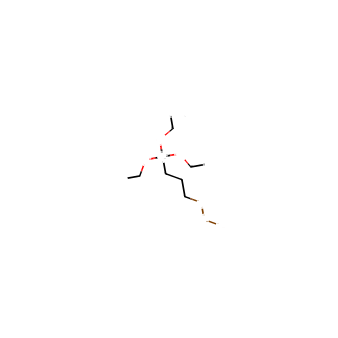 CCO[Si](CCCSSS)(OCC)OCC